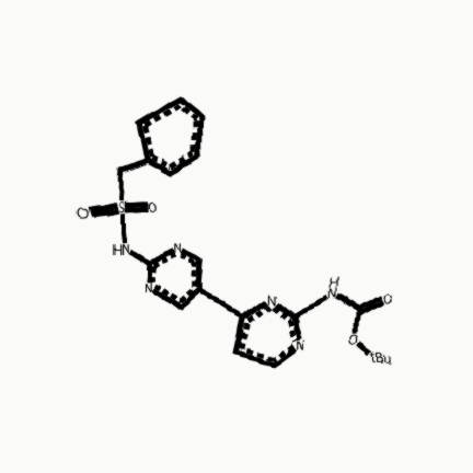 CC(C)(C)OC(=O)Nc1nccc(-c2cnc(NS(=O)(=O)Cc3ccccc3)nc2)n1